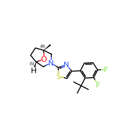 CC(C)(C)c1c(-c2csc(N3C[C@@H]4CC[C@](C)(C3)O4)n2)ccc(F)c1F